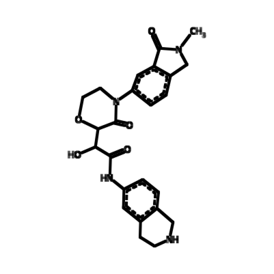 CN1Cc2ccc(N3CCOC(C(O)C(=O)Nc4ccc5c(c4)CCNC5)C3=O)cc2C1=O